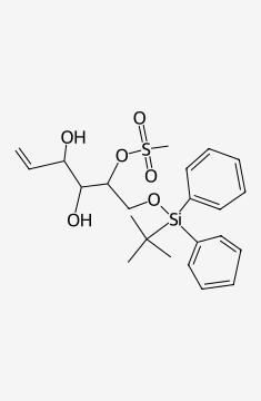 C=CC(O)C(O)C(CO[Si](c1ccccc1)(c1ccccc1)C(C)(C)C)OS(C)(=O)=O